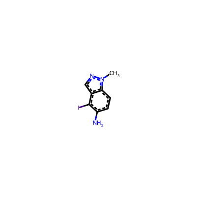 Cn1ncc2c(I)c(N)ccc21